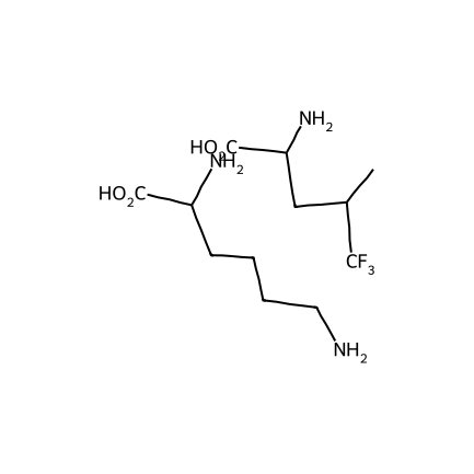 CC(CC(N)C(=O)O)C(F)(F)F.NCCCCC(N)C(=O)O